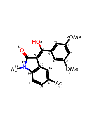 COc1cc(OC)cc(/C(O)=C2/C(=O)N(C(C)=O)c3ccc(C(C)=O)cc32)c1